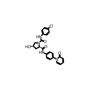 O=C(Nc1ccc(-n2ccccc2=O)cc1)[C@H]1C[C@@H](O)CN1C(=O)Nc1ccc(Cl)cc1